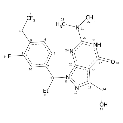 CCC(c1ccc(CC(F)(F)F)c(F)c1)n1nc(CO)c2c(=O)[nH]c(N(C)C)nc21